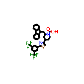 O=C(O)N1CCC(c2csc(-c3cc(C(F)(F)F)cc(C(F)(F)F)c3)n2)CC1CC1c2ccccc2-c2ccccc21